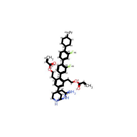 C=CC(=O)OCCc1cc(C23CCNC(C2)NC(N)C3)cc(CCOC(=O)C=C)c1-c1ccc(-c2ccc(C3CCC(CCC)CC3)c(F)c2)c(F)c1